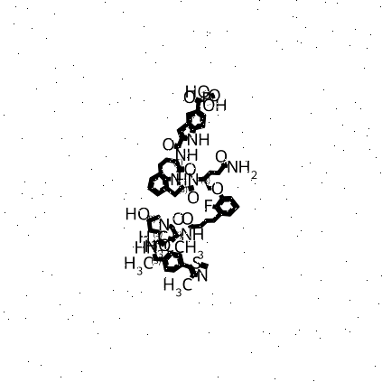 Cc1ncsc1-c1ccc([C@H](C)NC(=O)[C@@H]2C[C@@H](O)CN2C(=O)[C@@H](NC(=O)CCCc2cccc(OC[C@H](CCC(N)=O)NC(=O)[C@@H]3Cc4cccc5c4N3C(=O)[C@@H](NC(=O)c3cc4cc(C(=O)P(=O)(O)O)ccc4[nH]3)CC5)c2F)C(C)(C)C)cc1